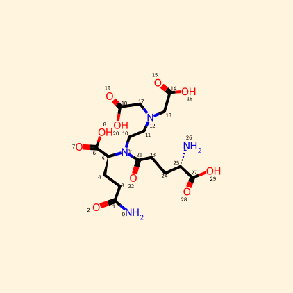 NC(=O)CC[C@@H](C(=O)O)N(CCN(CC(=O)O)CC(=O)O)C(=O)CC[C@H](N)C(=O)O